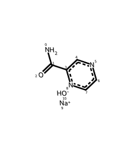 NC(=O)c1cnccn1.[Na+].[OH-]